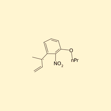 C=C[C](C)c1cccc(OCCC)c1[N+](=O)[O-]